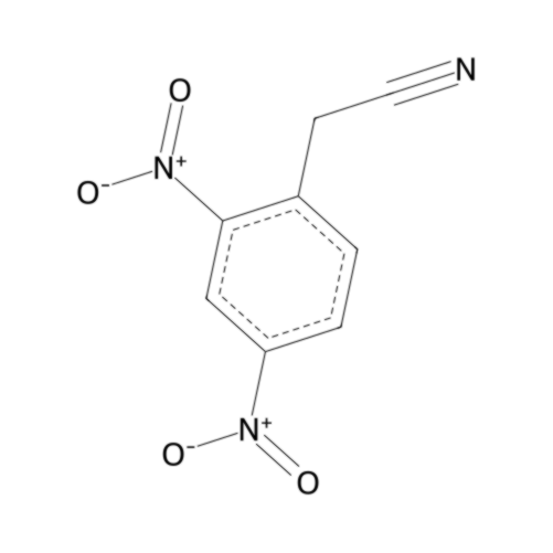 N#CCc1ccc([N+](=O)[O-])cc1[N+](=O)[O-]